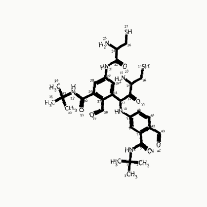 CC(C)(C)NC(=O)c1cc(NC(C(=O)C(N)CS)c2cc(NC(=O)C(N)CS)cc(C(=O)NC(C)(C)C)c2C=O)ccc1C=O